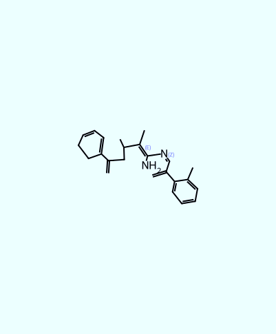 C=C(CC(C)/C(C)=C(N)/N=C\C(=C)c1ccccc1C)C1=CC=CCC1